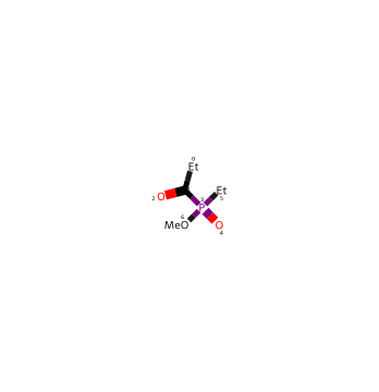 CCC(=O)P(=O)(CC)OC